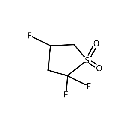 O=S1(=O)CC(F)CC1(F)F